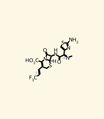 C/N=C(/C(=O)NC1C(=O)N2C(C(=O)O)=C(/C=C/C(F)(F)F)CS[C@H]12)c1csc(N)n1